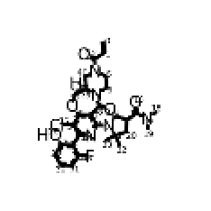 C=CC(=O)N1CCN2C(=O)c3c(N4CC(C(=O)N(C)C)CC4(C)C)nc(-c4c(O)cccc4F)c(Cl)c3OC[C@H]2C1